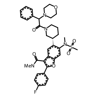 CNC(=O)c1c(-c2ccc(F)cc2)oc2cc(N(C)S(C)(=O)=O)c([C@H]3CCCN(C(=O)C(c4ccccc4)N4CCOCC4)C3)cc12